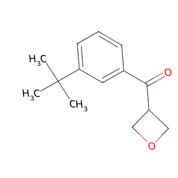 CC(C)(C)c1cccc(C(=O)C2COC2)c1